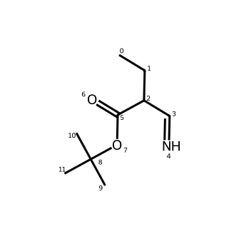 CCC(C=N)C(=O)OC(C)(C)C